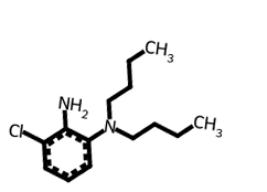 CCCCN(CCCC)c1cccc(Cl)c1N